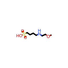 COCCNCCCCS(=O)(=O)O